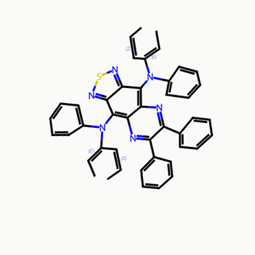 C/C=C\C(=C/C)N(c1ccccc1)c1c2nsnc2c(N(C(/C=C\C)=C/C)c2ccccc2)c2nc(-c3ccccc3)c(-c3ccccc3)nc12